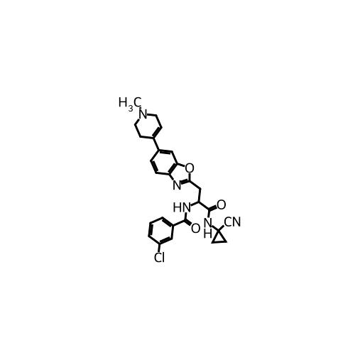 CN1CC=C(c2ccc3nc(CC(NC(=O)c4cccc(Cl)c4)C(=O)NC4(C#N)CC4)oc3c2)CC1